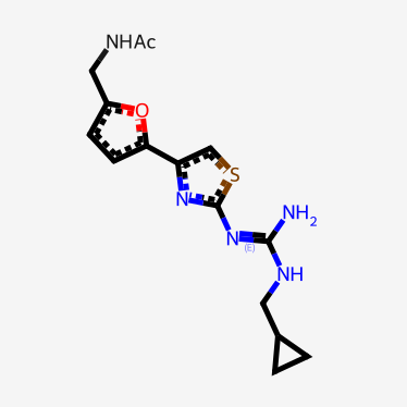 CC(=O)NCc1ccc(-c2csc(/N=C(\N)NCC3CC3)n2)o1